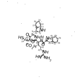 CC(C)(S)[C@H](NC(=O)[C@H](Cc1c[nH]c2ccccc12)NC(=O)[C@H](CCCNC(=N)N)NC(=O)[C@@H](N)Cc1ccccc1)C(=O)O